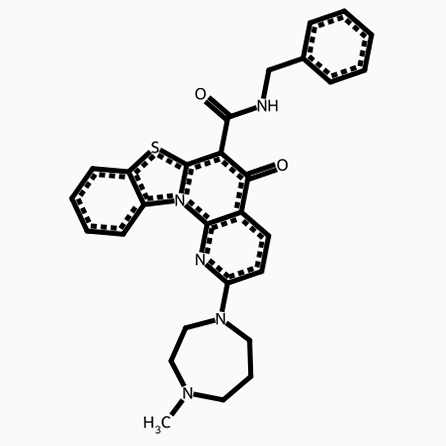 CN1CCCN(c2ccc3c(=O)c(C(=O)NCc4ccccc4)c4sc5ccccc5n4c3n2)CC1